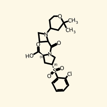 CC1(C)CC(N2CCC2C(=O)N2C[C@H](S(=O)(=O)c3ccccc3Cl)C[C@H]2C(=O)O)CCO1